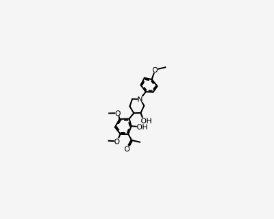 COc1ccc(N2CCC(c3c(OC)cc(OC)c(C(C)=O)c3O)C(O)C2)cc1